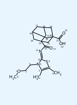 COCCn1c(C)c(C)sc1=NC(=O)C12CC3CC(CC(C(=O)O)(C3)C1)C2